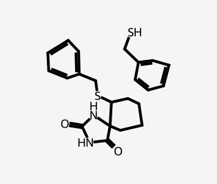 O=C1NC(=O)C2(CCCCC2SCc2ccccc2)N1.SCc1ccccc1